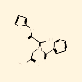 O=C(O)CN(C(=O)c1ccccc1)C(S)C(=O)Oc1cccs1